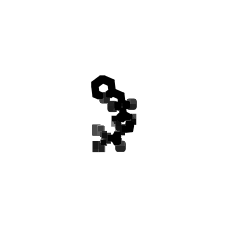 CCN(CC)C(=O)n1cnc(S(=O)(=O)CC2CCCCO2)n1